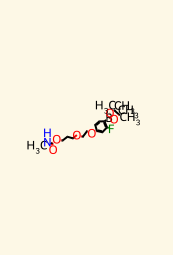 CNC(=O)OCCCOCCOc1ccc(B2OC(C)(C)C(C)(C)O2)c(F)c1